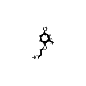 OCCOc1ccc(Cl)cc1F